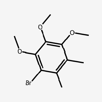 COc1c(C)c(C)c(Br)c(OC)c1OC